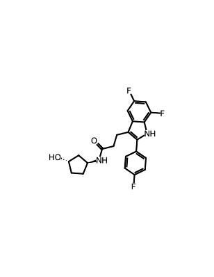 O=C(CCc1c(-c2ccc(F)cc2)[nH]c2c(F)cc(F)cc12)N[C@H]1CC[C@H](O)C1